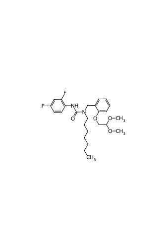 CCCCCCCN(Cc1ccccc1OCC(OC)OC)C(=O)Nc1ccc(F)cc1F